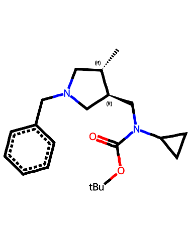 C[C@H]1CN(Cc2ccccc2)C[C@@H]1CN(C(=O)OC(C)(C)C)C1CC1